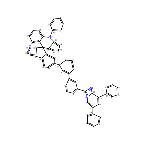 C1=CC(c2cccc(C3=[N+]4C=C(c5ccccc5)C=C(c5ccccc5)C4N3)c2)=CC(c2ccc3c(c2)C2(c4ccccc4N(c4ccccc4)c4ccccc42)c2ncccc2-3)C1